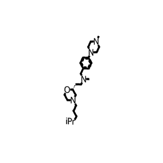 CC(C)CCCN1CCO[C@H](CCN(C)Cc2ccc(N3CCN(C)CC3)cc2)C1